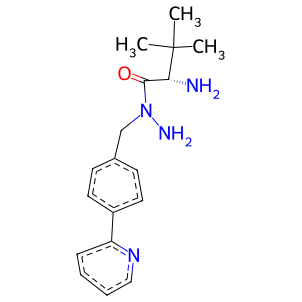 CC(C)(C)[C@H](N)C(=O)N(N)Cc1ccc(-c2ccccn2)cc1